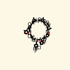 CC[C@H](C)[C@@H]1NC(=O)[C@H](CC(C)C)N(C)C(=O)C[C@@H](C(=O)N(C)C)N(C)C(=O)[C@H]([C@@H](C)CC)N(C)C(=O)C2(CCCC2)NC(=O)[C@H](Cc2ccccc2F)N(C)C(=O)[C@H](CCc2ccc(C(F)(F)F)c(Cl)c2)NC(=O)CN(C)C(=O)[C@H](Cc2ccc(C)cc2)N(C)C(=O)[C@@H]2CCN2C(=O)[C@H](C)N(C)C1=O